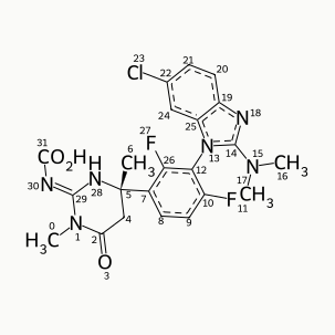 CN1C(=O)C[C@@](C)(c2ccc(F)c(-n3c(N(C)C)nc4ccc(Cl)cc43)c2F)N/C1=N\C(=O)O